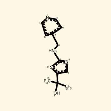 OC(c1cnc(NCc2ccncc2)s1)(C(F)(F)F)C(F)(F)F